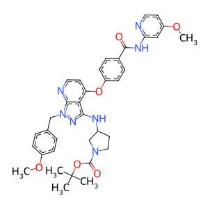 COc1ccc(Cn2nc(NC3CCN(C(=O)OC(C)(C)C)C3)c3c(Oc4ccc(C(=O)Nc5cc(OC)ccn5)cc4)ccnc32)cc1